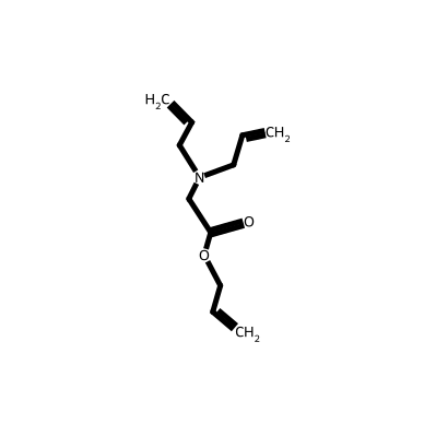 C=CCOC(=O)CN(CC=C)CC=C